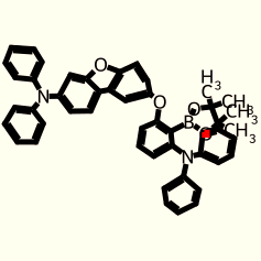 CC1(C)OB(c2c(Oc3ccc4oc5cc(N(c6ccccc6)c6ccccc6)ccc5c4c3)cccc2N(c2ccccc2)c2ccccc2)OC1(C)C